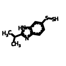 CC(C)c1nc2ccc(SS)cc2[nH]1